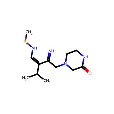 CSN/C=C(\C(=N)CN1CCNC(=O)C1)C(C)C